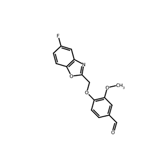 COc1cc(C=O)ccc1OCc1nc2cc(F)ccc2o1